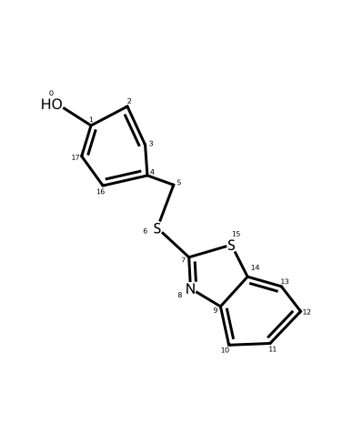 Oc1ccc(CSc2nc3ccccc3s2)cc1